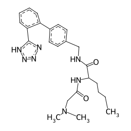 CCCCC(NC(=O)CN(C)C)C(=O)NCc1ccc(-c2ccccc2-c2nnn[nH]2)cc1